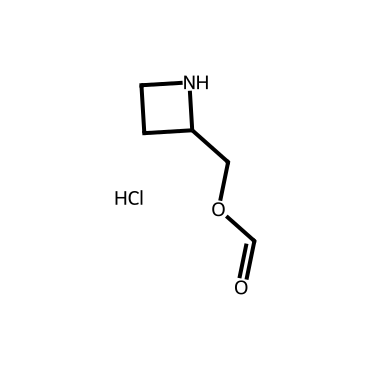 Cl.O=COCC1CCN1